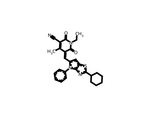 CCN1C(=O)C(C#N)=C(C)/C(=C/c2cc3sc(C4CCCCC4)nc3n2-c2ccccc2)C1=O